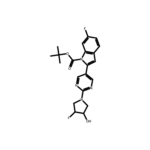 CC(C)(C)OC(=O)n1c(-c2cnc(N3CC(O)C(F)C3)nc2)cc2ccc(F)cc21